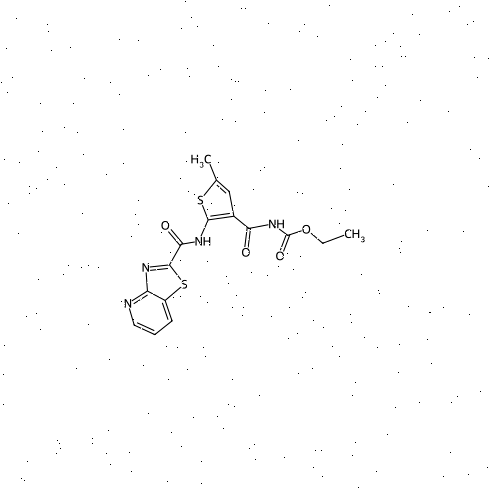 CCOC(=O)NC(=O)c1cc(C)sc1NC(=O)c1nc2ncccc2s1